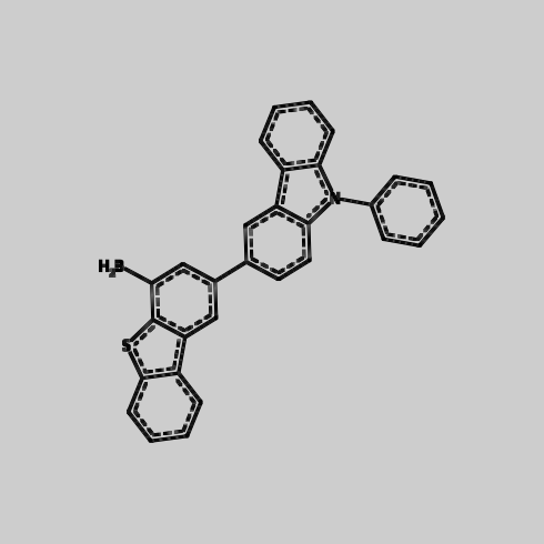 Bc1cc(-c2ccc3c(c2)c2ccccc2n3-c2ccccc2)cc2c1sc1ccccc12